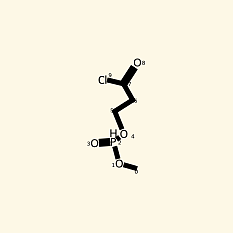 CO[PH](=O)OCCC(=O)Cl